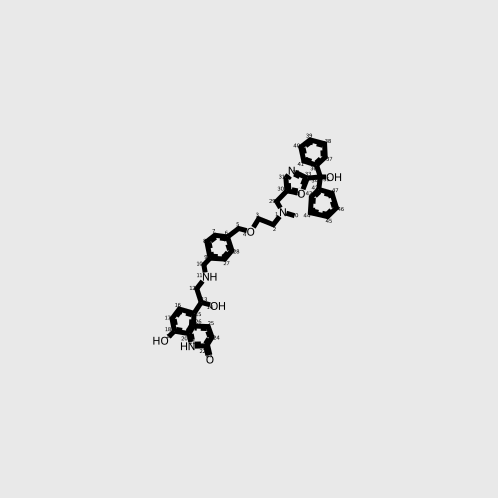 CN(CCOCc1ccc(CNCC(O)c2ccc(O)c3[nH]c(=O)ccc23)cc1)Cc1cnc(C(O)(c2ccccc2)c2ccccc2)o1